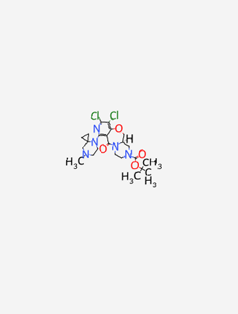 CN1CCN(c2nc(Cl)c(Cl)c3c2C(=O)N2CCN(C(=O)OC(C)(C)C)C[C@@H]2CO3)C2(CC2)C1